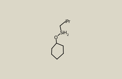 CC(C)C[SiH2]OC1CCCCC1